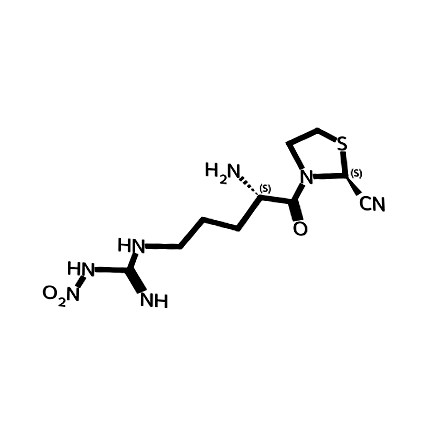 N#C[C@@H]1SCCN1C(=O)[C@@H](N)CCCNC(=N)N[N+](=O)[O-]